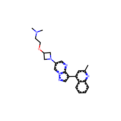 Cc1cc(-c2cnn3cc(N4CC(OCCN(C)C)C4)cnc23)c2ccccc2n1